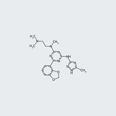 Cc1cc(Nc2cc(N(C)CCN(C)C)nc(-c3cccc4c3OCO4)n2)n[nH]1